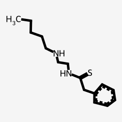 CCCCCNCCNC(=S)Cc1ccccc1